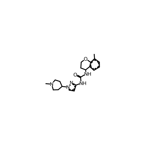 Cc1cccc2c1OCCC2NC(=O)Nc1ccn(C2CCN(C)CC2)n1